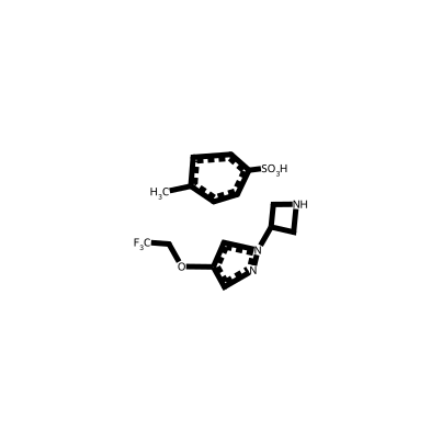 Cc1ccc(S(=O)(=O)O)cc1.FC(F)(F)COc1cnn(C2CNC2)c1